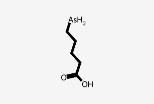 O=C(O)CCCC[AsH2]